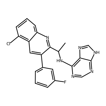 CC(Nc1ncnc2[nH]cnc12)c1nc2cccc(Cl)c2cc1-c1cccc(F)c1